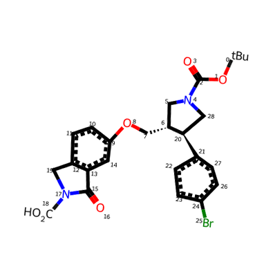 CC(C)(C)OC(=O)N1C[C@@H](COc2ccc3c(c2)C(=O)N(C(=O)O)C3)[C@H](c2ccc(Br)cc2)C1